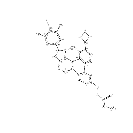 COC(=O)CCc1ccc(OC)c(-c2ccc(N3CCC3)nc2CN2C(=O)OC(c3cc(F)c(F)c(F)c3)[C@@H]2C)c1